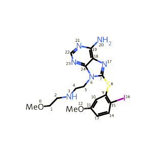 COCCNCCn1c(Sc2cc(OC)ccc2I)nc2c(N)ncnc21